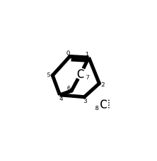 C1=C2CCC(C1)CC2.[C]